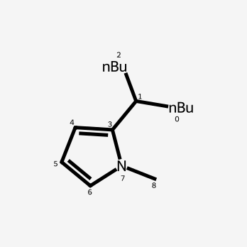 CCCCC(CCCC)c1cccn1C